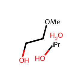 CC(C)O.COCCO.O